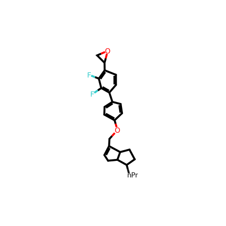 CCCC1CCC2C(COc3ccc(-c4ccc(C5CO5)c(F)c4F)cc3)=CCC12